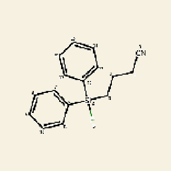 N#CCCC[Si](F)(c1ccccc1)c1ccccc1